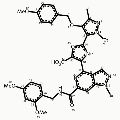 CCn1nc(C)c(OCc2ccc(OC)cc2)c1-c1nc(-c2nc(C(=O)NCc3ccc(OC)cc3OC)cc3c2cnn3C)c(C(=O)O)o1